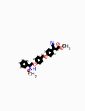 CONC(COc1ccc(COc2ccc(C(C#N)CC(=O)OC)cc2)cc1)c1ccccc1